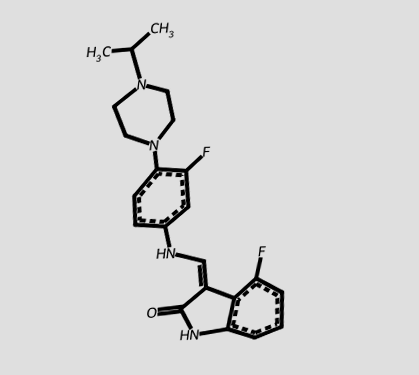 CC(C)N1CCN(c2ccc(NC=C3C(=O)Nc4cccc(F)c43)cc2F)CC1